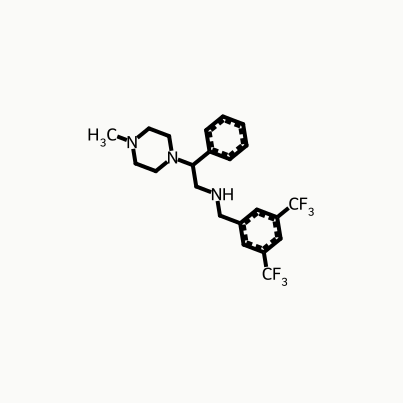 CN1CCN(C(CNCc2cc(C(F)(F)F)cc(C(F)(F)F)c2)c2ccccc2)CC1